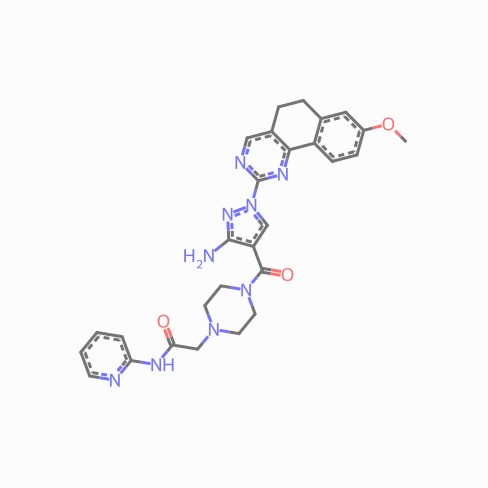 COc1ccc2c(c1)CCc1cnc(-n3cc(C(=O)N4CCN(CC(=O)Nc5ccccn5)CC4)c(N)n3)nc1-2